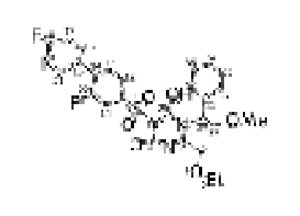 CCOCc1nc(=O)c(S(=O)(=O)c2ccc(-c3ccc(F)nc3)c(F)c2)c(O)n1C(COC)c1ccccc1